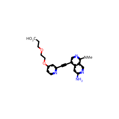 CNc1ncc(C#Cc2cc(OCCOCCC(=O)O)ccn2)c2cc(N)ncc12